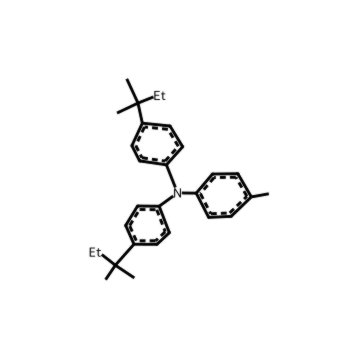 CCC(C)(C)c1ccc(N(c2ccc(C)cc2)c2ccc(C(C)(C)CC)cc2)cc1